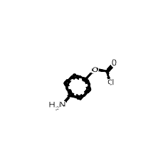 Nc1ccc(OC(=O)Cl)cc1